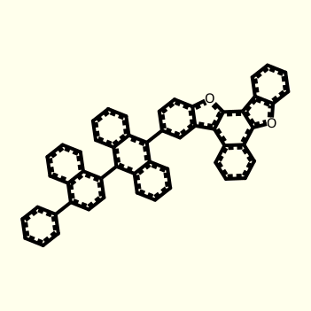 c1ccc(-c2ccc(-c3c4ccccc4c(-c4ccc5oc6c(c5c4)c4ccccc4c4oc5ccccc5c46)c4ccccc34)c3ccccc23)cc1